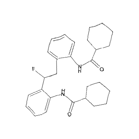 O=C(Nc1ccccc1CC(F)c1ccccc1NC(=O)C1CCCCC1)C1CCCCC1